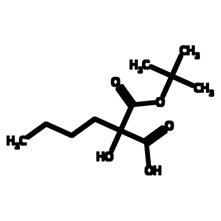 CCCCC(O)(C(=O)O)C(=O)OC(C)(C)C